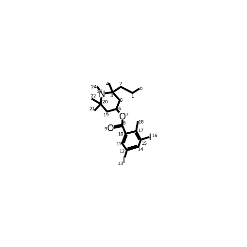 CCCC1(C)CC(OC(=O)c2cc(I)cc(I)c2C)CC(C)(C)N1C